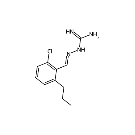 CCCc1cccc(Cl)c1C=NNC(=N)N